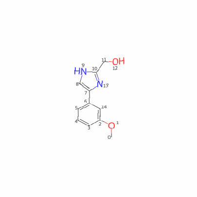 COc1cccc(-c2c[nH]c(CO)n2)c1